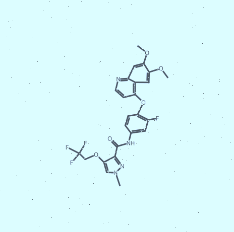 COc1cc2nccc(Oc3ccc(NC(=O)c4nn(C)cc4OCC(F)(F)F)cc3F)c2cc1OC